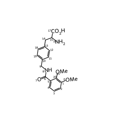 COc1cccc(C(=O)NCc2ccc(CC(N)C(=O)O)cc2)c1OC